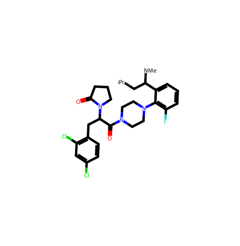 CNC(CC(C)C)c1cccc(F)c1N1CCN(C(=O)C(Cc2ccc(Cl)cc2Cl)N2CCCC2=O)CC1